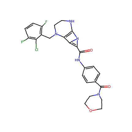 O=C(Nc1ccc(C(=O)N2CCOCC2)cc1)c1c2c3c(n1-2)NCCN3Cc1c(F)ccc(F)c1Cl